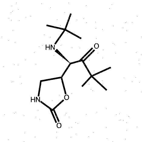 CC(C)(C)N[C@@H](C(=O)C(C)(C)C)C1CNC(=O)O1